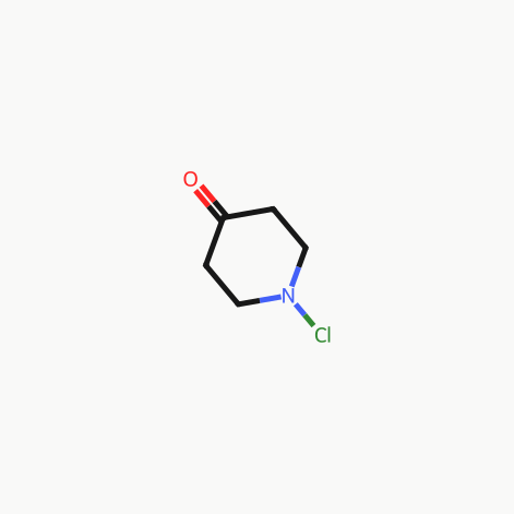 O=C1CCN(Cl)CC1